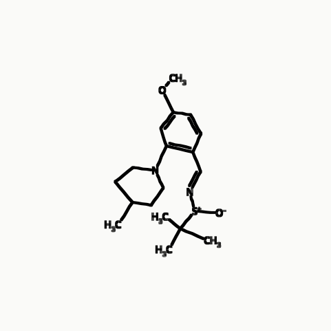 COc1ccc(C=N[S+]([O-])C(C)(C)C)c(N2CCC(C)CC2)c1